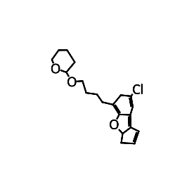 ClC1=CC2=C3C=CCC3OC2=C(CCCCOC2CCCCO2)C1